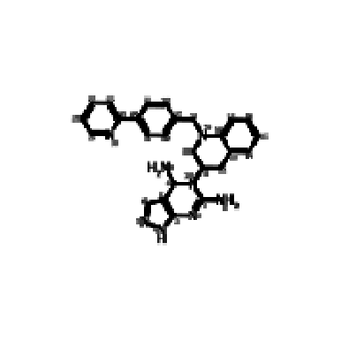 NC1=Nc2[nH]ncc2C(N)N1C1Cc2ccccc2N(Cc2ccc(-c3ccccn3)cc2)C1